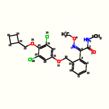 CNC(=O)C(=NOC)c1ccccc1COc1cc(Cl)c(OCC2CCC2)c(Cl)c1